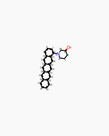 O=C1CCCN(c2cccc3cc4cc5cc6ccccc6cc5cc4cc23)C1